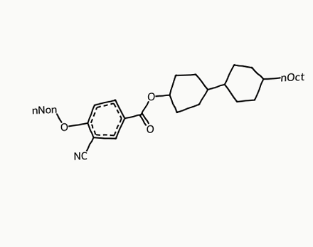 CCCCCCCCCOc1ccc(C(=O)OC2CCC(C3CCC(CCCCCCCC)CC3)CC2)cc1C#N